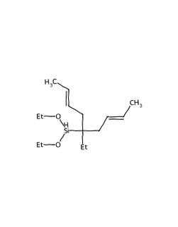 CC=CCC(CC)(CC=CC)[SiH](OCC)OCC